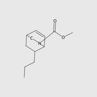 CCCC1CC2C=CC1N(C(=O)OC)C2